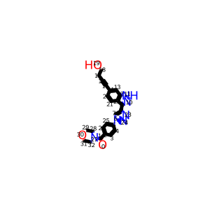 O=C(c1ccc(-n2cc(-c3n[nH]c4cc(C#CCCO)ccc34)nn2)cc1)N1CCOCC1